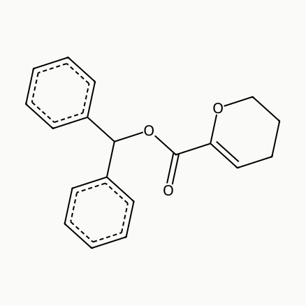 O=C(OC(c1ccccc1)c1ccccc1)C1=CCCCO1